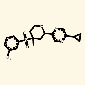 CC1(S(=O)(=O)c2cccc(C(F)(F)F)c2)CCOC(c2cnc(C3CC3)cn2)C1